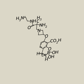 CC(N)(CN1CC(Oc2ccc3c(c2C(=O)O)O[B-](O)(O)[C@@H]2C[C@H]32)C1)C(=O)NCC[NH3+]